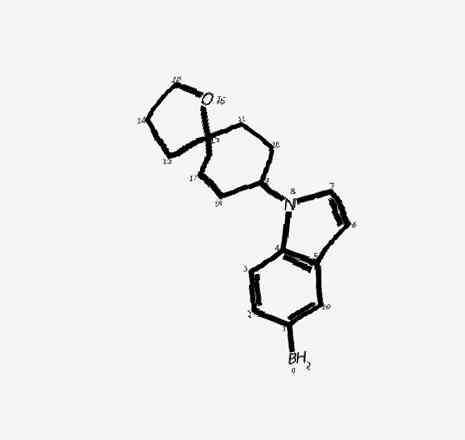 Bc1ccc2c(ccn2C2CCC3(CCCO3)CC2)c1